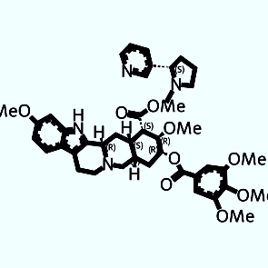 CN1CCC[C@H]1c1cccnc1.COC(=O)[C@H]1[C@H]2C[C@@H]3c4[nH]c5cc(OC)ccc5c4CCN3C[C@H]2C[C@@H](OC(=O)c2cc(OC)c(OC)c(OC)c2)[C@@H]1OC